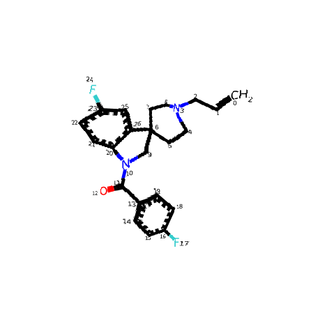 C=CCN1CCC2(CC1)CN(C(=O)c1ccc(F)cc1)c1ccc(F)cc12